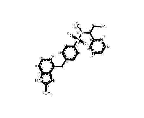 Cc1nc2c(Cc3ccc(S(=O)(=O)N(C)C(CC(C)C)c4cnccn4)cc3)nccc2[nH]1